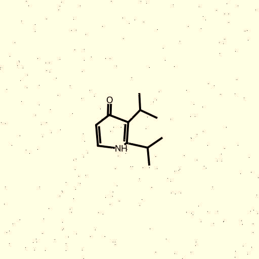 CC(C)c1[nH]ccc(=O)c1C(C)C